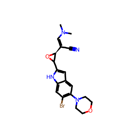 CN(C)/C=C(\C#N)[C@@H]1OC1c1cc2cc(N3CCOCC3)c(Br)cc2[nH]1